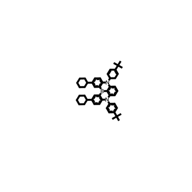 CC(C)(C)C1=CCC(N2c3ccc(C4CCCCC4)cc3B3c4cc(C5CCCCC5)ccc4N(c4ccc(C(C)(C)C)cc4)c4cccc2c43)C=C1